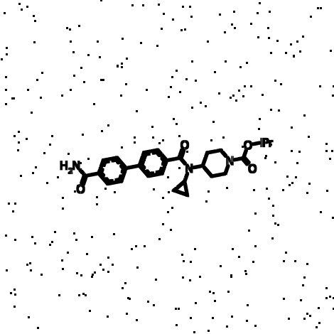 CC(C)OC(=O)N1CCC(N(C(=O)c2ccc(-c3ccc(C(N)=O)cc3)cc2)C2CC2)CC1